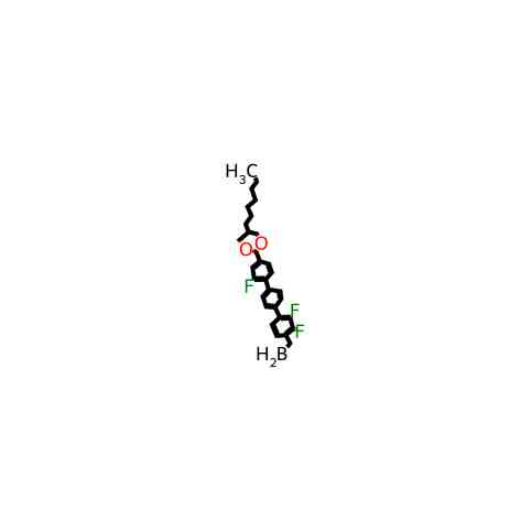 BCc1ccc(-c2ccc(-c3ccc(C4OCC(CCCCCCC)CO4)cc3F)cc2)c(F)c1F